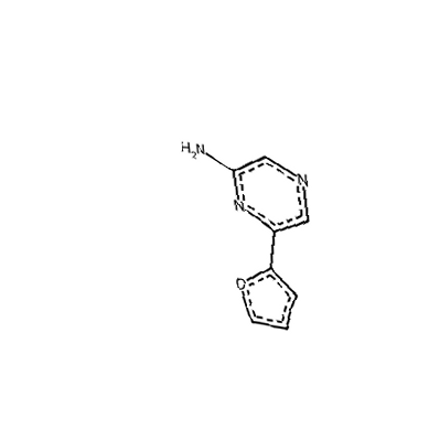 Nc1cncc(-c2ccco2)n1